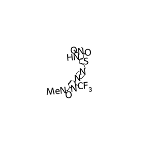 CNC(=O)c1ccc(N2CCN(Cc3cc4[nH]c(=O)n(C)c(=O)c4s3)CC2)c(C(F)(F)F)n1